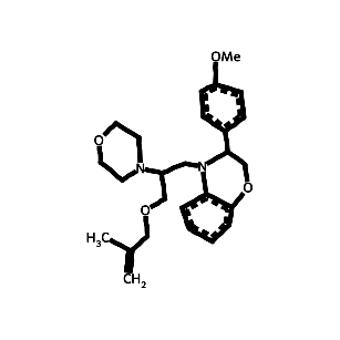 C=C(C)COCC(CN1c2ccccc2OCC1c1ccc(OC)cc1)N1CCOCC1